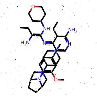 CC/C(N)=C(/N=C1/C(c2ccc(N3C4CCC3CN(C3CCN(C)CC3)C4)c(OC)c2)=CN=C(N)C1CC)NC1CCOCC1